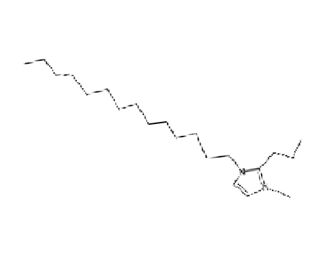 CCCCCCCCCCCCCCn1cc[n+](C)c1CCC